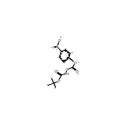 CC(C)(C)OC(=O)NOC(=O)Oc1ccc([N+](=O)[O-])cc1